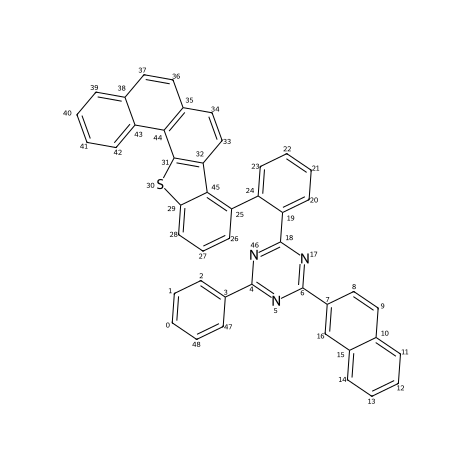 c1ccc(-c2nc(-c3ccc4ccccc4c3)nc(-c3ccccc3-c3cccc4sc5c(ccc6ccc7ccccc7c65)c34)n2)cc1